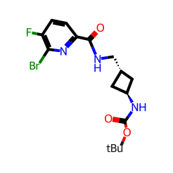 CC(C)(C)OC(=O)N[C@H]1C[C@H](CNC(=O)c2ccc(F)c(Br)n2)C1